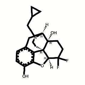 Oc1ccc2c3c1O[C@@H]1C(F)(F)CC[C@]4(O)[C@H](C2)N(CC2CC2)CC[C@@]314